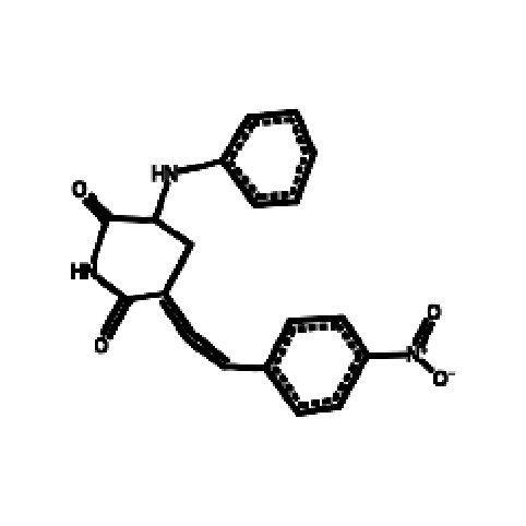 O=C1NC(=O)C(Nc2ccccc2)CC1=C=Cc1ccc([N+](=O)[O-])cc1